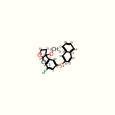 COC1(c2cc(F)cc(Sc3ccc4ccccc4c3)c2)CCOC1C